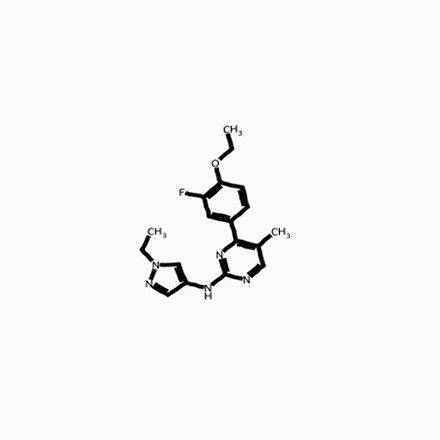 CCOc1ccc(-c2nc(Nc3cnn(CC)c3)ncc2C)cc1F